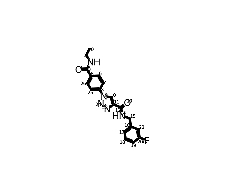 CCNC(=O)c1ccc(-n2cc(C(=O)NCc3cccc(F)c3)nn2)cc1